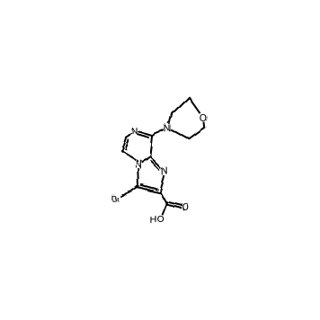 O=C(O)c1nc2c(N3CCOCC3)nccn2c1Br